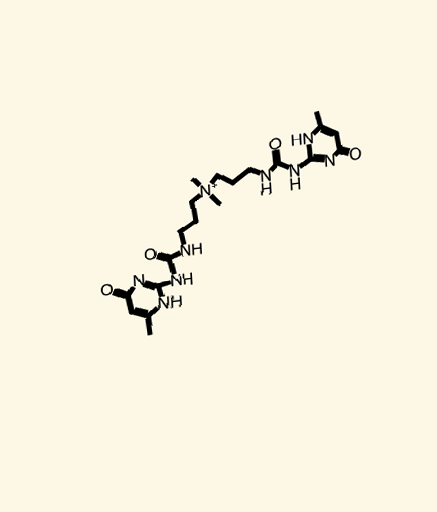 Cc1cc(=O)nc(NC(=O)NCCC[N+](C)(C)CCCNC(=O)Nc2nc(=O)cc(C)[nH]2)[nH]1